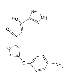 Nc1ccc(Oc2coc(C(=O)C=C(O)c3nc[nH]n3)c2)cc1